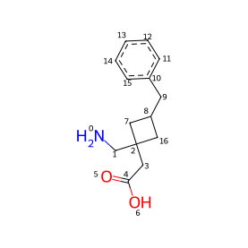 NCC1(CC(=O)O)CC(Cc2ccccc2)C1